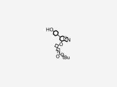 CC(C)(C)OC(=O)N1CC2(CCC2Oc2cc(-c3ccc(O)cc3)cn3cncc23)C1